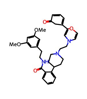 COc1cc(CCNC(=O)c2ccccc2C2CCN(CCN3C=COC(C4=CC=CC(=O)C4)=C3)CC2)cc(OC)c1